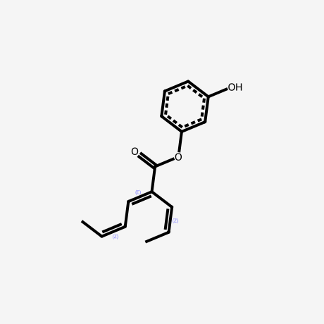 C\C=C/C=C(\C=C/C)C(=O)Oc1cccc(O)c1